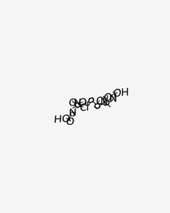 COc1nc(O[C@H]2CCc3c(-c4cccc(-c5cc(C)c(CN6CC(C)(O)C6)c(OC)n5)c4Cl)cccc32)c(Cl)cc1CN1CC[C@@H](C(=O)O)C1